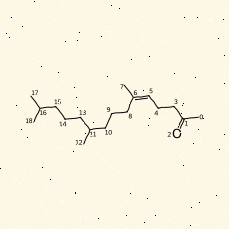 CC(=O)CCC=C(C)CCCC(C)CCCC(C)C